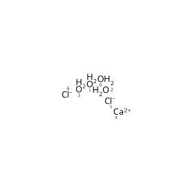 O.O.O.O.[Ca+2].[Cl-].[Cl-]